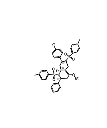 CCOC1=C2CN(S(=O)(=O)c3ccc(C)cc3)[C@H](c3ccc(Cl)cc3)C[C@@H]2N(S(=O)(=O)c2ccc(C)cc2)[C@H](c2ccccc2)C1